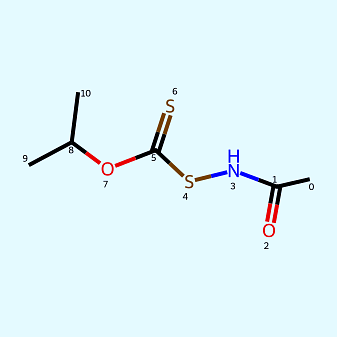 CC(=O)NSC(=S)OC(C)C